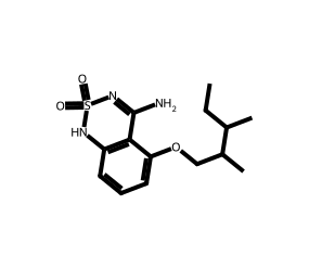 CCC(C)C(C)COc1cccc2c1C(N)=NS(=O)(=O)N2